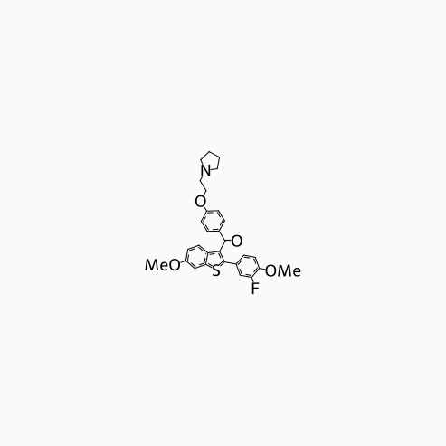 COc1ccc2c(C(=O)c3ccc(OCCN4CCCC4)cc3)c(-c3ccc(OC)c(F)c3)sc2c1